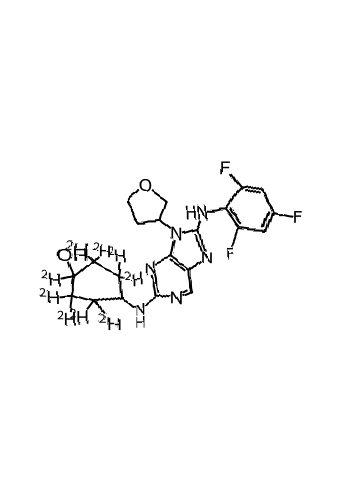 [2H]C1([2H])C(Nc2ncc3nc(Nc4c(F)cc(F)cc4F)n(C4CCOC4)c3n2)C([2H])([2H])C([2H])([2H])C([2H])(O)C1([2H])[2H]